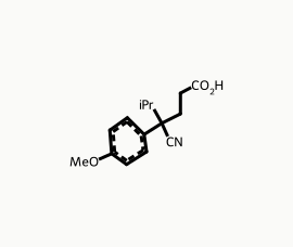 COc1ccc(C(C#N)(CCC(=O)O)C(C)C)cc1